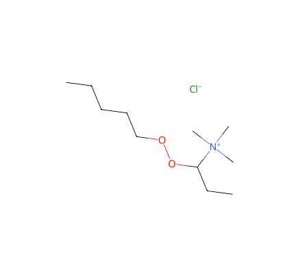 CCCCCOOC(CC)[N+](C)(C)C.[Cl-]